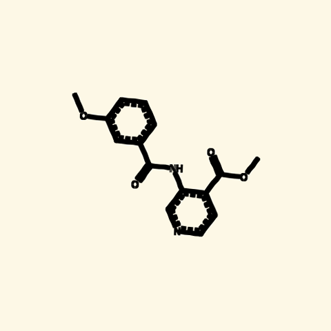 COC(=O)c1ccncc1NC(=O)c1cccc(OC)c1